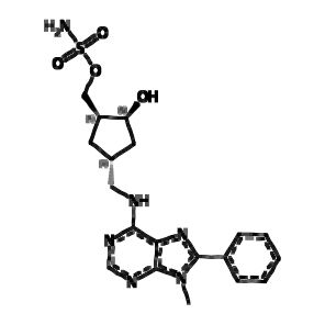 Cn1c(-c2ccccc2)nc2c(NC[C@@H]3C[C@@H](COS(N)(=O)=O)[C@@H](O)C3)ncnc21